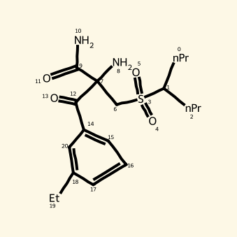 CCCC(CCC)S(=O)(=O)CC(N)(C(N)=O)C(=O)c1cccc(CC)c1